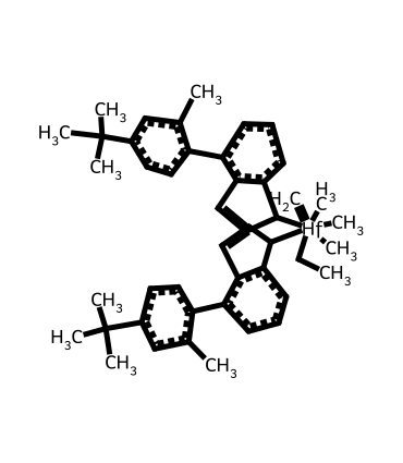 [CH2]=[Hf]([CH3])([CH3])([CH3])([CH2]C)([CH]1C=Cc2c(-c3ccc(C(C)(C)C)cc3C)cccc21)[CH]1C=Cc2c(-c3ccc(C(C)(C)C)cc3C)cccc21